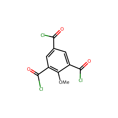 COc1c(C(=O)Cl)cc(C(=O)Cl)cc1C(=O)Cl